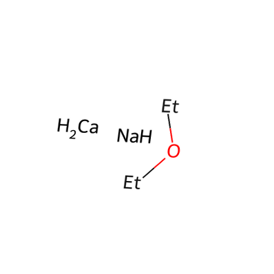 CCOCC.[CaH2].[NaH]